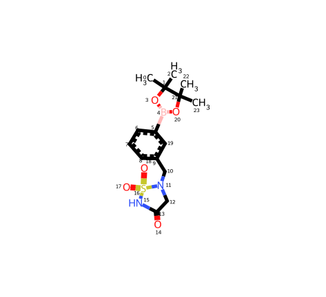 CC1(C)OB(c2cccc(CN3CC(=O)NS3(=O)=O)c2)OC1(C)C